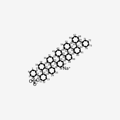 O=S(=O)([O-])c1ccccc1-c1ccccc1-c1ccccc1-c1ccccc1-c1ccccc1-c1ccccc1-c1ccccc1-c1ccccc1-c1ccccc1-c1ccccc1-c1ccccc1-c1ccccc1.[Na+]